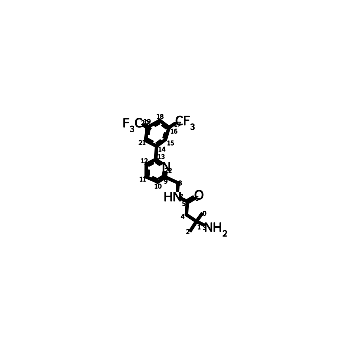 CC(C)(N)CC(=O)NCc1cccc(-c2cc(C(F)(F)F)cc(C(F)(F)F)c2)n1